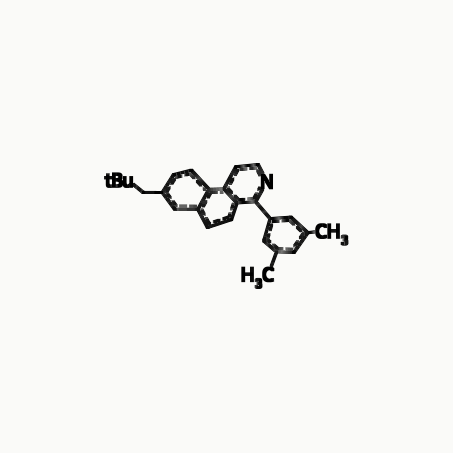 Cc1cc(C)cc(-c2nccc3c2ccc2cc(CC(C)(C)C)ccc23)c1